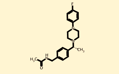 CC(=O)NCc1ccc([C@@H](C)N2CCN(c3ccc(F)cc3)CC2)cc1